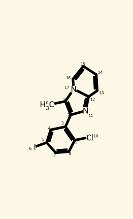 Cc1c(-c2cc(I)ccc2Cl)nc2ccccn12